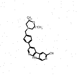 C[C@@H]1CN(Cc2ccc(-c3cnc4[nH]c5cnc(C#N)cc5c4c3)cc2)C[C@H](C)O1